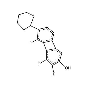 Oc1cc2c(c(F)c1F)-c1c-2ccc(C2CCCCC2)c1F